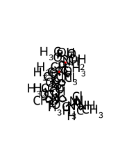 C#CC(C)Oc1cc(N2C(=O)C3=C(CCCC3)C2=O)c(F)cc1Cl.CC1COc2ccccc2N1C(=O)C(Cl)Cl.CCNc1nc(Cl)nc(NC(C)C)n1.CCc1cccc(C)c1N(C(=O)CCl)C(C)COC.CP(=O)(O)CCC(N)C(=O)O